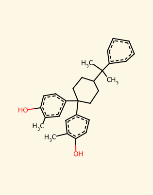 Cc1cc(C2(c3ccc(O)c(C)c3)CCC(C(C)(C)c3ccccc3)CC2)ccc1O